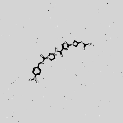 CC(=O)SC1CN(c2nc(C(=O)N[C@@H]3CCN(C(=O)OCc4ccc([N+](=O)[O-])cc4)C3)co2)C1